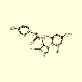 COc1cc(F)c([C@@H]2CNC(=O)C2NC(=O)Nc2ccc(C(C)(C)C)cc2)c(F)c1